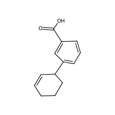 O=C(O)c1cccc(C2C=CCCC2)c1